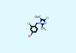 Cc1nc(Cl)c(C=O)n1Cc1ccc(Br)cc1Cl